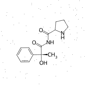 C[C@](O)(C(=O)NC(=O)C1CCCN1)c1ccccc1